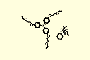 C1CCCCC1.C=COCCOc1ccc([S+](c2ccc(OCCOC=C)cc2)c2ccc(OCCOC=C)cc2)cc1.NS(=O)(=O)[O-]